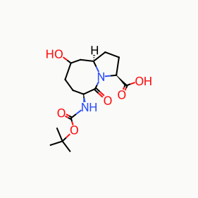 CC(C)(C)OC(=O)N[C@H]1CCC(O)C[C@H]2CC[C@@H](C(=O)O)N2C1=O